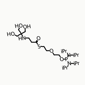 CC(C)N(C(C)C)P(OCCOCCSC(=O)CCNC(CO)(CO)CO)N(C(C)C)C(C)C